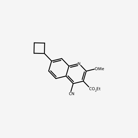 CCOC(=O)c1c(OC)nc2cc(C3CCC3)ccc2c1C#N